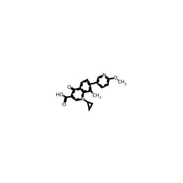 COc1ccc(-c2ccc3c(=O)c(C(=O)O)cn(C4CC4)c3c2C)cn1